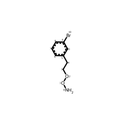 NOOCCc1cccc(Br)c1